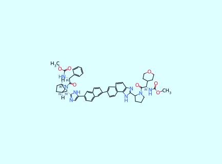 COC(=O)N[C@H](C(=O)N1CCCC1c1nc2ccc3cc(-c4ccc5cc(-c6cnc([C@@H]7[C@H]8CC[C@H](C8)N7C(=O)[C@H](NC(=O)OC)c7ccccc7)[nH]6)ccc5c4)ccc3c2[nH]1)C1CCOCC1